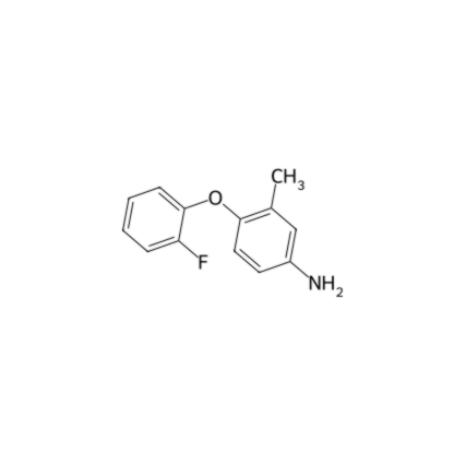 Cc1cc(N)ccc1Oc1ccccc1F